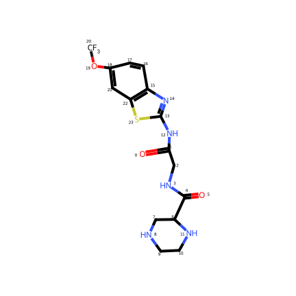 O=C(CNC(=O)C1CNCCN1)Nc1nc2ccc(OC(F)(F)F)cc2s1